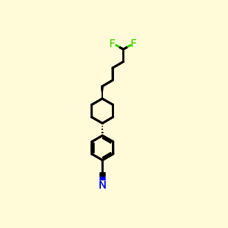 N#Cc1ccc([C@H]2CC[C@H](CCCCC(F)F)CC2)cc1